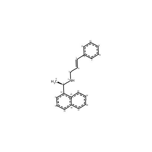 C[C@@H](NCC=Cc1ccccc1)c1cccc2ccccc12